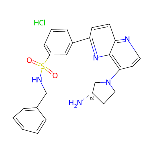 Cl.N[C@H]1CCN(c2ccnc3ccc(-c4cccc(S(=O)(=O)NCc5ccccc5)c4)nc23)C1